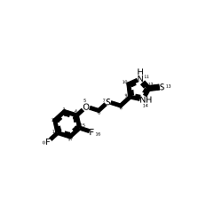 Fc1ccc(OCSCc2c[nH]c(=S)[nH]2)c(F)c1